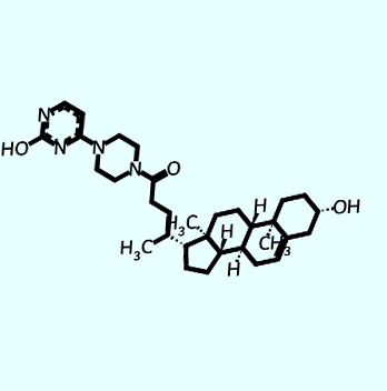 CC(CCC(=O)N1CCN(c2ccnc(O)n2)CC1)[C@H]1CC[C@H]2[C@@H]3CC=C4C[C@@H](O)CC[C@]4(C)[C@H]3CC[C@]12C